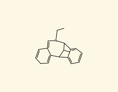 CCN1C=C2C=CCC=C2C2c3ccccc3C1C2C